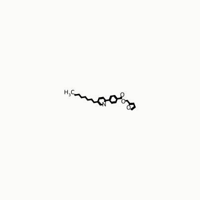 CCCCCCCCc1ccc(-c2ccc(C(=O)OCc3ccco3)cc2)nc1